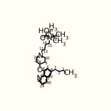 CCCCc1cc(OC2CCN(CCCCN(C(=O)O)C(C)(C)C)CC2)c2ncccc2c1